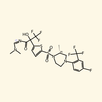 C[C@@H]1CN(c2ccc(F)cc2C(F)(F)F)CCN1S(=O)(=O)c1ccc(C(O)(C(=O)/N=C\N(C)C)C(F)(F)F)s1